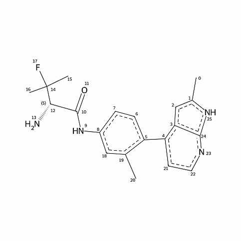 Cc1cc2c(-c3ccc(NC(=O)[C@H](N)C(C)(C)F)cc3C)ccnc2[nH]1